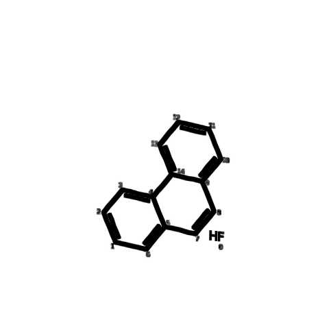 F.c1ccc2c(c1)ccc1ccccc12